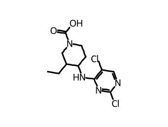 CCC1CN(C(=O)O)CCC1Nc1nc(Cl)ncc1Cl